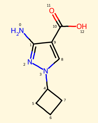 Nc1nn(C2CCC2)cc1C(=O)O